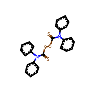 S=C(SSC(=S)N(c1ccccc1)c1ccccc1)N(c1ccccc1)c1ccccc1